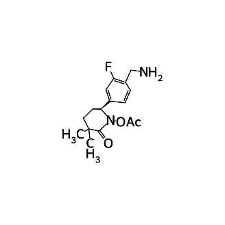 CC(=O)ON1C(=O)C(C)(C)CC[C@H]1c1ccc(CN)c(F)c1